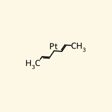 CC=CCC=CC.[Pt]